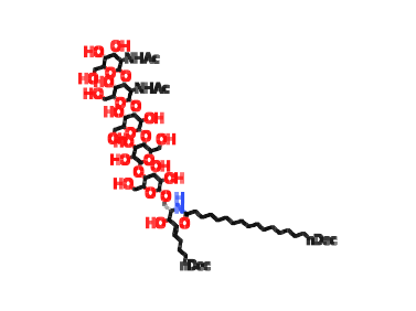 CCCCCCCCCCCCC/C=C/[C@@H](O)[C@H](CO[C@@H]1OC(CO)[C@@H](O[C@@H]2OC(CO)[C@H](O[C@@H]3OC(CO)[C@H](O)[C@H](O[C@@H]4OC(CO)[C@H](O)[C@H](O[C@H]5OC(CO)[C@H](O)[C@H](O)C5NC(C)=O)C4NC(C)=O)C3O)[C@H](O)C2O)[C@H](O)C1O)NC(=O)CCCCCCCCCCCCCCCCCCCCCCCCC